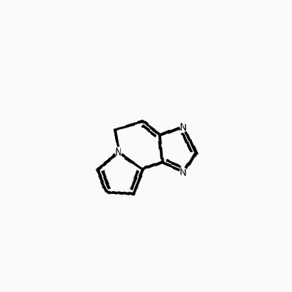 C1=NC2=CCn3cccc3C2=N1